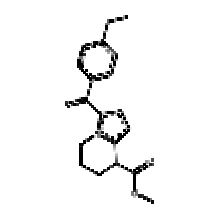 CCc1ccc(C(=S)c2ccc3n2CCCC3C(=O)OC)cc1